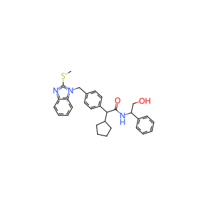 CSc1nc2ccccc2n1Cc1ccc(C(C(=O)NC(CO)c2ccccc2)C2CCCC2)cc1